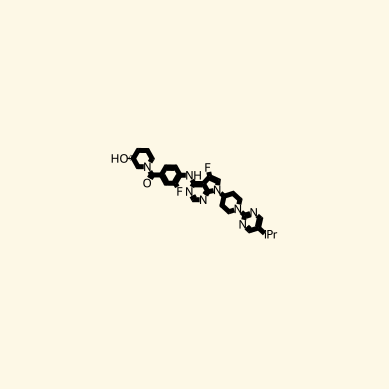 CC(C)c1cnc(N2CCC(n3cc(F)c4c(Nc5ccc(C(=O)N6CCC[C@@H](O)C6)cc5F)ncnc43)CC2)nc1